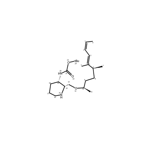 C/C=C\C=C(/C)[C@@H](C)CC[C@@H](C)OC[C@@H]1NCCC[C@@H]1NC(=O)OC(C)(C)C